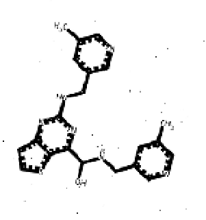 Cc1cncc(CNc2nc(C(O)NCc3cncc(C)c3)c3sccc3n2)c1